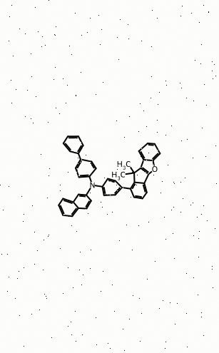 CC1(C)c2c(-c3ccc(N(c4ccc(-c5ccccc5)cc4)c4ccc5ccccc5c4)cc3)cccc2-c2oc3ccccc3c21